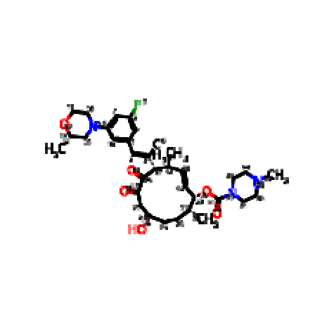 C/C(=C\c1cc(F)cc(N2CCO[C@@H](C)C2)c1)[C@H]1C(=O)C(=O)C[C@@H](O)CC[C@@H](C)[C@@H](OC(=O)N2CCN(C)CC2)/C=C/[C@@H]1C